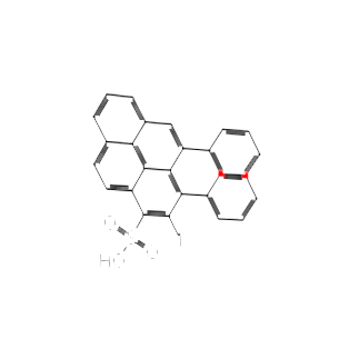 O=S(=O)(O)c1c(I)c(-c2ccccc2)c2c(-c3ccccc3)cc3cccc4ccc1c2c43